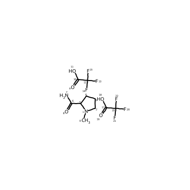 CN1CCCC1C(N)=O.O=C(O)C(F)(F)F.O=C(O)C(F)(F)F